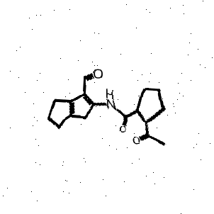 CC(=O)C1CCCC1C(=O)NC1=C(C=O)C2=C(CCC2)C1